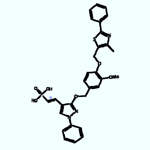 COc1cc(COc2nn(-c3ccccc3)cc2/C=C/P(=O)(O)O)ccc1OCc1sc(-c2ccccc2)nc1C